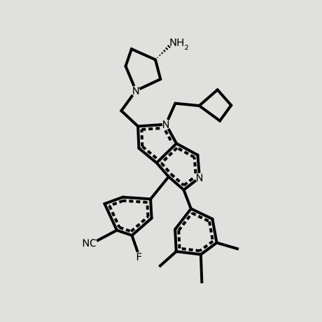 Cc1cc(-c2ncc3c(cc(CN4CC[C@H](N)C4)n3CC3CCC3)c2-c2ccc(C#N)c(F)c2)cc(C)c1C